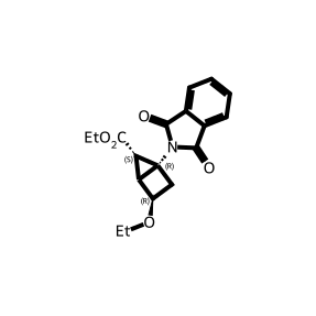 CCOC(=O)[C@H]1C2[C@H](OCC)C[C@@]21N1C(=O)c2ccccc2C1=O